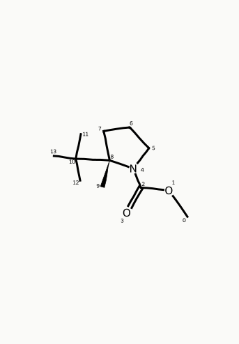 COC(=O)N1CCC[C@@]1(C)C(C)(C)C